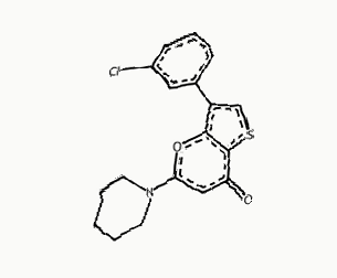 O=c1cc(N2CCCCC2)oc2c(-c3cccc(Cl)c3)csc12